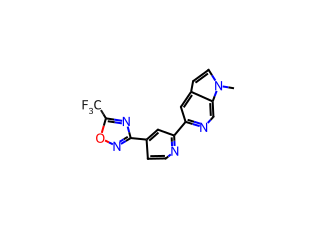 Cn1ccc2cc(-c3cc(-c4noc(C(F)(F)F)n4)ccn3)ncc21